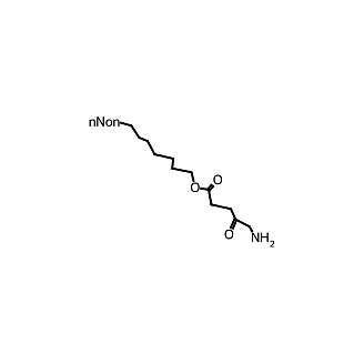 CCCCCCCCCCCCCCCCOC(=O)CCC(=O)CN